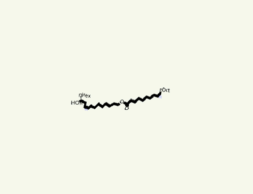 CCCCCCCC/C=C\CCCCCCCC(=O)OCCCCCCCC/C=C\C[C@H](O)CCCCCC